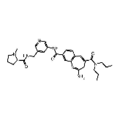 CCCN(CCC)C(=O)C1=Cc2ccc(C(=O)Nc3cncc(CNC(=O)C4CCCN4C)c3)cc2N=C(N)C1